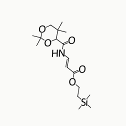 CC1(C)OCC(C)(C)C(C(=O)N/C=C/C(=O)OCC[Si](C)(C)C)O1